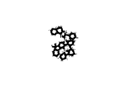 CC1(C)c2ccccc2-c2c1cc1c3c4c(cccc4n1-c1nc4c(ccc5ccccc54)nc1-c1ccccc1)c1cccc4c5ccccc5n(c23)c14